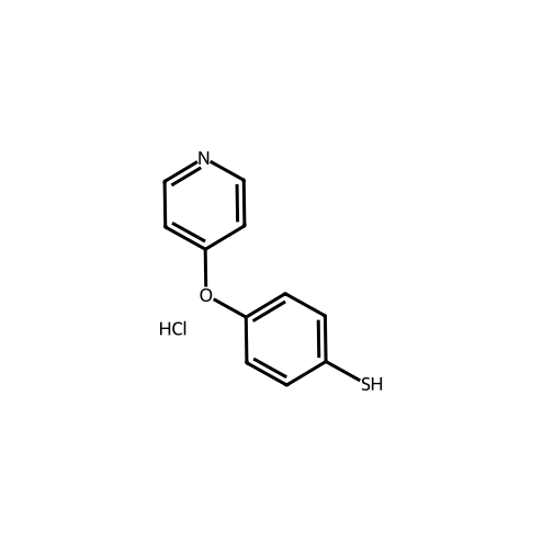 Cl.Sc1ccc(Oc2ccncc2)cc1